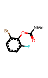 CNC(=O)Oc1c(F)cccc1Br